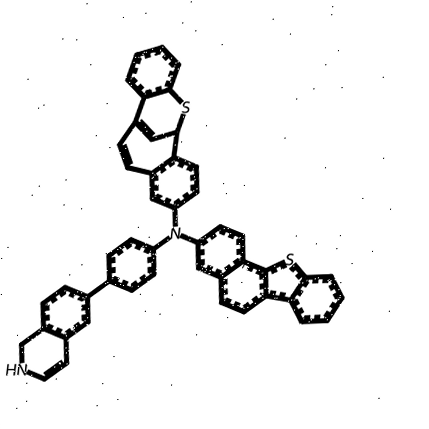 C1=Cc2cc(-c3ccc(N(c4ccc5c(c4)C=CC4=CC5Sc5ccccc54)c4ccc5c(ccc6c7ccccc7sc56)c4)cc3)ccc2CN1